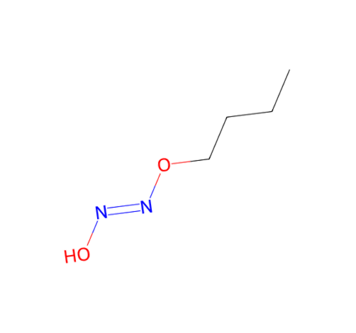 CCCCON=NO